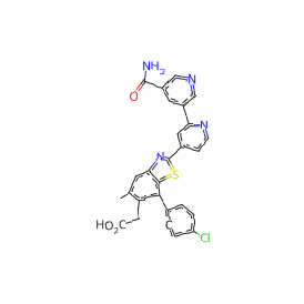 Cc1cc2nc(-c3ccnc(-c4cncc(C(N)=O)c4)c3)sc2c(-c2ccc(Cl)cc2)c1CC(=O)O